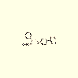 N=C(N)c1ccc(OCC(O[C]=O)c2ccccc2)cc1